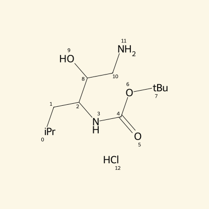 CC(C)CC(NC(=O)OC(C)(C)C)C(O)CN.Cl